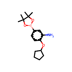 CC1(C)OB(c2ccc(OC3CCCC3)c(N)c2)OC1(C)C